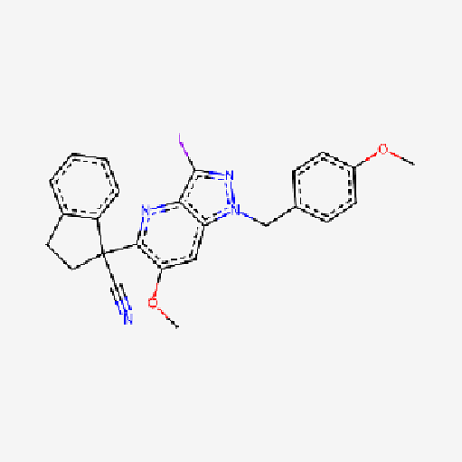 COc1ccc(Cn2nc(I)c3nc(C4(C#N)CCc5ccccc54)c(OC)cc32)cc1